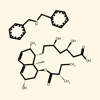 CC[C@H](C)C(=O)O[C@H]1C[C@H](O)C=C2C=C[C@H](C)[C@H](CC[C@@H](O)C[C@@H](O)CC(=O)O)[C@H]21.c1ccc(CNCc2ccccc2)cc1